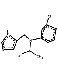 CC(C)N(Cc1cnc[nH]1)c1cccc(Cl)c1